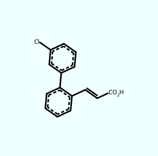 O=C(O)/C=C/c1ccccc1-c1cccc(Cl)c1